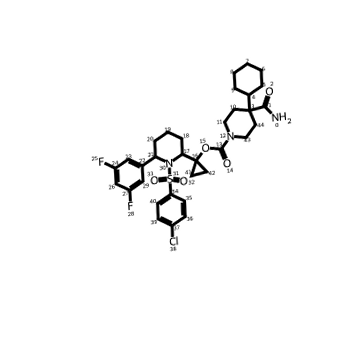 NC(=O)C1(C2CCCCC2)CCN(C(=O)OC2(C3CCCC(c4cc(F)cc(F)c4)N3S(=O)(=O)c3ccc(Cl)cc3)CC2)CC1